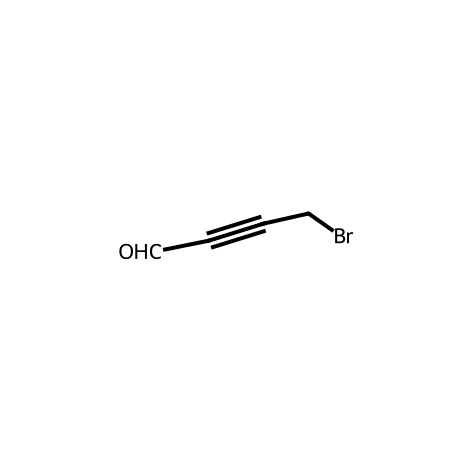 O=CC#CCBr